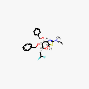 CN(C)C1=N[C@@H]2[C@@H](OCc3ccccc3)[C@H](OCc3ccccc3)[C@@H](CC(F)F)O[C@@H]2S1